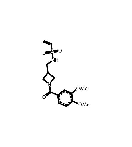 C=CS(=O)(=O)NCC1CN(C(=O)c2ccc(OC)c(OC)c2)C1